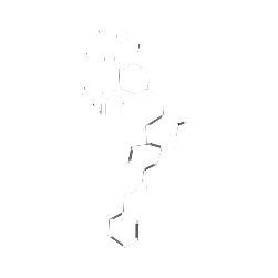 CC(=O)N[C@H]1C(Oc2cc3ccc(OCc4ccccc4)cc3oc2=O)O[C@H](COC(C)=O)[C@@H](OC(C)=O)[C@@H]1OC(C)=O